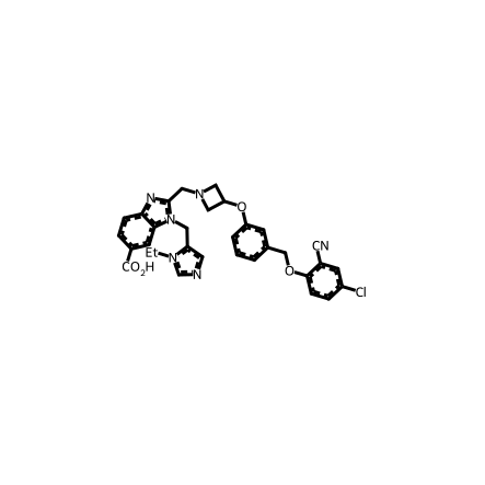 CCn1cncc1Cn1c(CN2CC(Oc3cccc(COc4ccc(Cl)cc4C#N)c3)C2)nc2ccc(C(=O)O)cc21